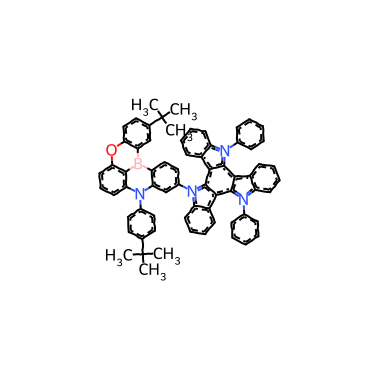 CC(C)(C)c1ccc(N2c3cc(-n4c5ccccc5c5c6c(c7ccccc7n6-c6ccccc6)c6c(c7ccccc7n6-c6ccccc6)c54)ccc3B3c4cc(C(C)(C)C)ccc4Oc4cccc2c43)cc1